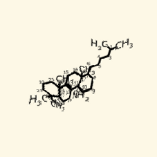 CC(C)CCCCC1CCC[C@@]2(N)C3=C(CCC12C)C1(C)CCCC(C)(C)[C@@H]1CC3